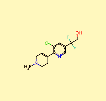 BN1CC=C(c2ncc(C(F)(F)CO)cc2Cl)CC1